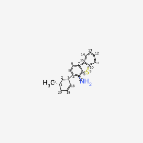 C[C@@H]1C=C(c2ccc3c(sc4ccccc43)c2N)C=CC1